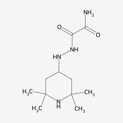 CC1(C)CC(NNC(=O)C(N)=O)CC(C)(C)N1